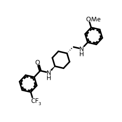 COc1cccc(NC[C@H]2CC[C@H](NC(=O)c3cccc(C(F)(F)F)c3)CC2)c1